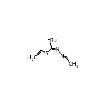 C=CS/C(=N\N=C\C)C(C)(C)C